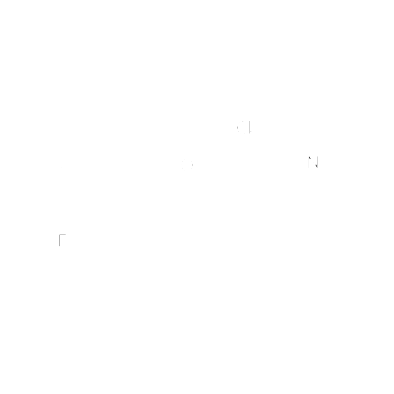 Fc1cccc(Oc2cccc3ccnc(Cl)c23)c1